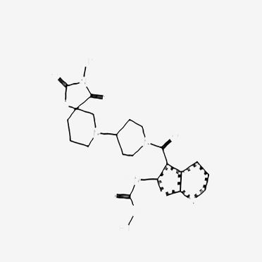 CC(C)N1C(=O)SC2(CCCN(C3CCN(C(=O)c4c(NC(=O)OC(C)(C)C)sc5ncccc45)CC3)C2)C1=O